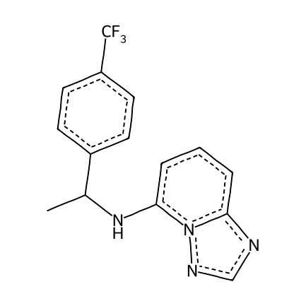 CC(Nc1cccc2ncnn12)c1ccc(C(F)(F)F)cc1